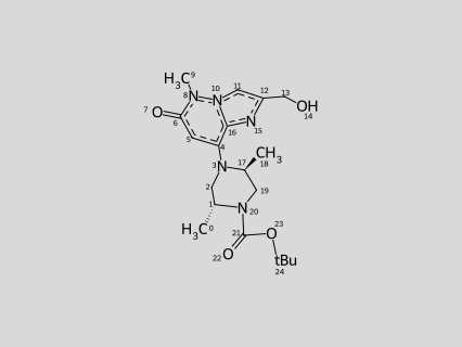 C[C@@H]1CN(c2cc(=O)n(C)n3cc(CO)nc23)[C@@H](C)CN1C(=O)OC(C)(C)C